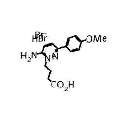 Br.COc1ccc(-c2ccc(N)[n+](CCCC(=O)O)n2)cc1.[Br-]